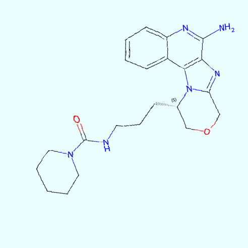 Nc1nc2ccccc2c2c1nc1n2[C@@H](CCCNC(=O)N2CCCCC2)COC1